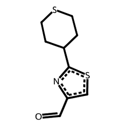 O=Cc1csc(C2CCSCC2)n1